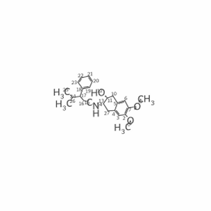 COc1cc2c(cc1OC)C[C@H](O)[C@@H](NCCC(c1ccccc1)C(C)C)C2